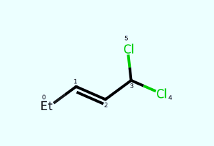 CCC=CC(Cl)Cl